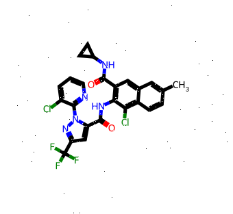 Cc1ccc2c(Cl)c(NC(=O)c3cc(C(F)(F)F)nn3-c3ncccc3Cl)c(C(=O)NC3CC3)cc2c1